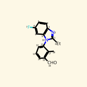 CCc1nc2ccc(F)cc2n1-c1cccc(C=O)c1C